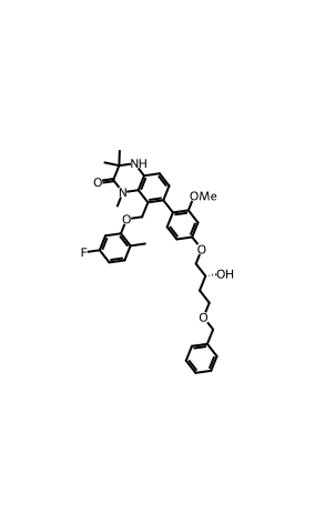 COc1cc(OC[C@H](O)CCOCc2ccccc2)ccc1-c1ccc2c(c1COc1cc(F)ccc1C)N(C)C(=O)C(C)(C)N2